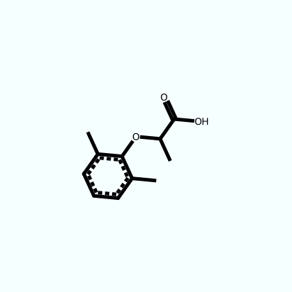 Cc1cccc(C)c1OC(C)C(=O)O